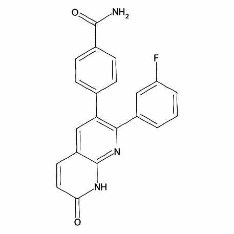 NC(=O)c1ccc(-c2cc3ccc(=O)[nH]c3nc2-c2cccc(F)c2)cc1